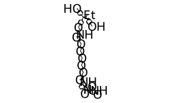 CCC(=C(c1ccc(O)cc1)c1ccc(OCCNC(=O)CCOCCOCCOCCOCCOCCC(=O)Nc2cccc3c2CN(C2CCC(=O)NC2=O)C3=O)cc1)c1ccc(O)cc1